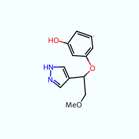 COCC(Oc1c[c]cc(O)c1)c1cn[nH]c1